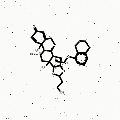 CCCC1O[C@@H]2CC3C4CCC5=CC(=O)C=CC5(C)C4[C@@H](O)CC3(C)[C@]2(C(=O)COc2cccc3c2CCCC3)O1